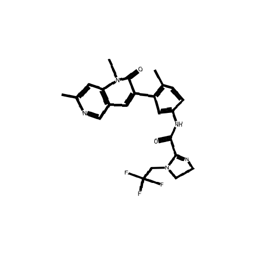 Cc1cc2c(cn1)cc(-c1cc(NC(=O)C3=NCCN3CC(F)(F)F)ccc1C)c(=O)n2C